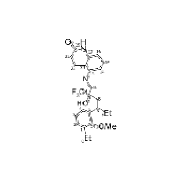 CCc1cccc(C(CC)CC(O)(C=Nc2cccc3[nH]c(=O)ccc23)C(F)(F)F)c1OC